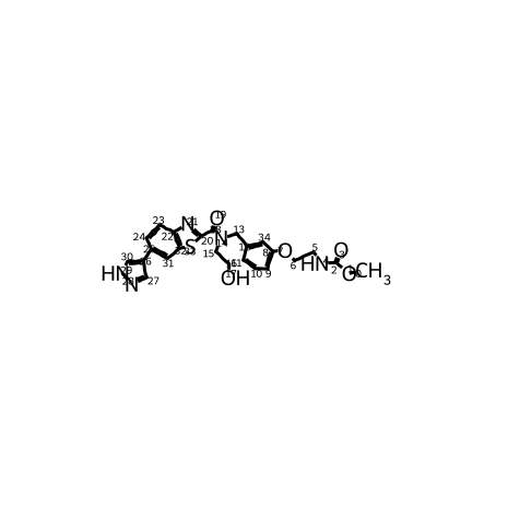 COC(=O)NCCOc1cccc(CN(CCO)C(=O)c2nc3ccc(-c4cn[nH]c4)cc3s2)c1